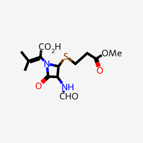 COC(=O)CCSC1C(NC=O)C(=O)N1C(C(=O)O)=C(C)C